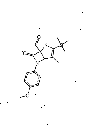 COc1ccc(N2C(=O)C3(C=O)SC([Si](C)(C)C)=C(I)C23)cc1